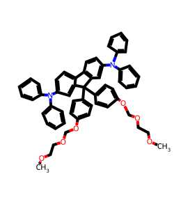 COCCOCOc1ccc(C2(c3ccc(OCOCCOC)cc3)c3cc(N(c4ccccc4)c4ccccc4)ccc3-c3ccc(N(c4ccccc4)c4ccccc4)cc32)cc1